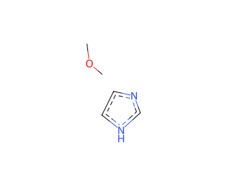 COC.c1c[nH]cn1